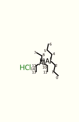 CC[CH2][AlH][CH2]CC.C[CH2][Al]([CH2]C)[CH2]C.Cl